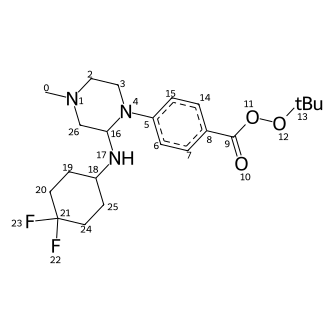 CN1CCN(c2ccc(C(=O)OOC(C)(C)C)cc2)C(NC2CCC(F)(F)CC2)C1